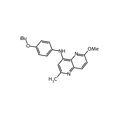 CCC(C)Oc1ccc(Nc2cc(C)nc3ccc(OC)nc23)cc1